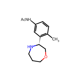 CC(=O)Nc1ccc(C)c([C@@H]2COCCCN2)c1